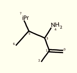 C=C(C)C(N)C(C)C(C)C